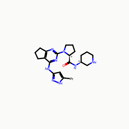 CC(C)c1cc(Nc2nc(N3CCC[C@H]3C(=O)N[C@H]3CCCNC3)nc3c2CCC3)n[nH]1